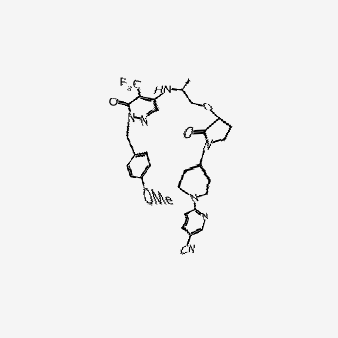 COc1ccc(Cn2ncc(N[C@@H](C)COC3CCN(C4CCN(c5ccc(C#N)cn5)CC4)C3=O)c(C(F)(F)F)c2=O)cc1